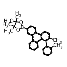 Cc1ccccc1-c1c(C)ccc2c3ccc(B4OC(C)(C)C(C)(C)O4)cc3c3ccccc3c12